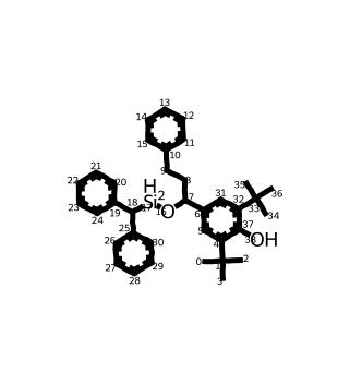 CC(C)(C)c1cc(C(CCc2ccccc2)O[SiH2]C(c2ccccc2)c2ccccc2)cc(C(C)(C)C)c1O